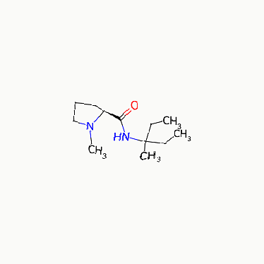 CCC(C)(CC)NC(=O)[C@@H]1CCCN1C